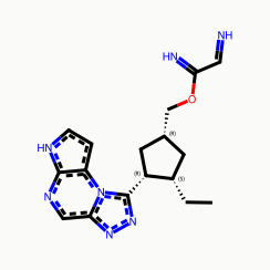 CC[C@H]1C[C@@H](COC(=N)C=N)C[C@H]1c1nnc2cnc3[nH]ccc3n12